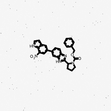 O=C(OCc1ccccc1)N1CCCC1c1nc2ccc(-c3cc([N+](=O)[O-])c4[nH]ccc4c3)cc2[nH]1